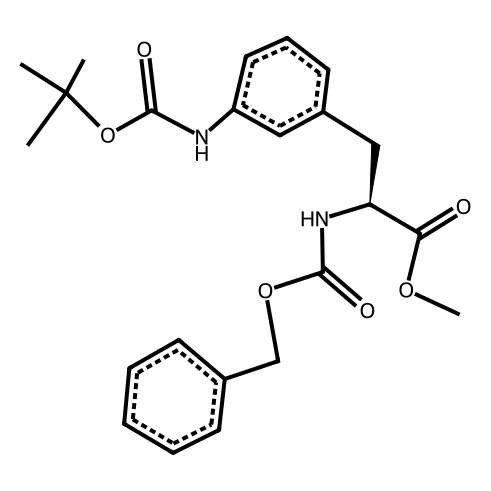 COC(=O)[C@H](Cc1cccc(NC(=O)OC(C)(C)C)c1)NC(=O)OCc1ccccc1